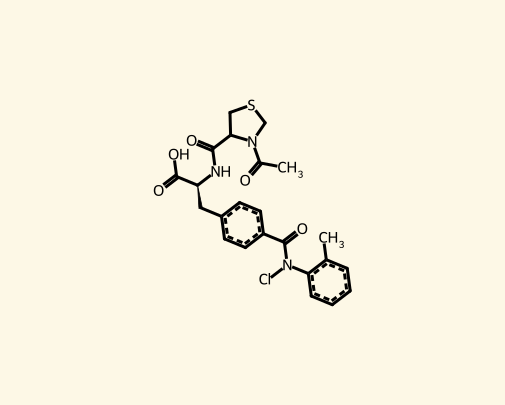 CC(=O)N1CSCC1C(=O)N[C@@H](Cc1ccc(C(=O)N(Cl)c2ccccc2C)cc1)C(=O)O